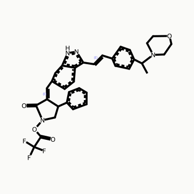 CC(c1ccc(/C=C/c2n[nH]c3cc(/C=C4/C(=O)N(OC(=O)C(F)(F)F)CC4c4ccccc4)ccc23)cc1)N1CCOCC1